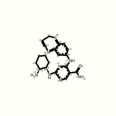 NC(=O)c1cnc(N[C@@H]2CCCC[C@@H]2N)nc1Nc1ccc2c(c1)=NC=CCN=2